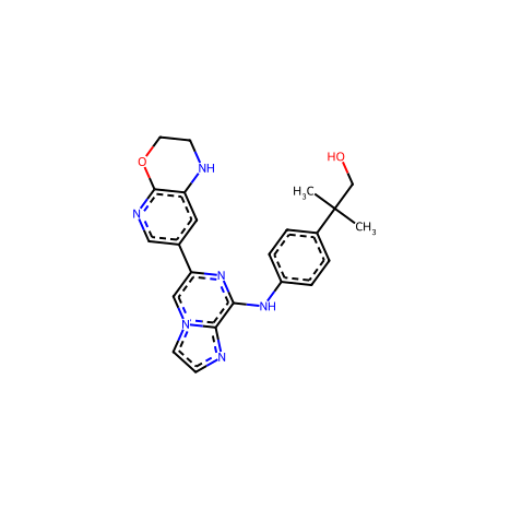 CC(C)(CO)c1ccc(Nc2nc(-c3cnc4c(c3)NCCO4)cn3ccnc23)cc1